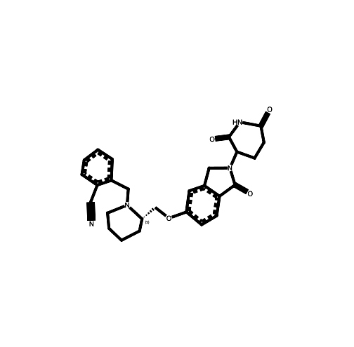 N#Cc1ccccc1CN1CCCC[C@H]1COc1ccc2c(c1)CN(C1CCC(=O)NC1=O)C2=O